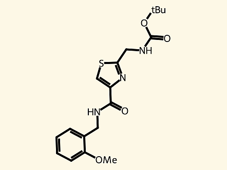 COc1ccccc1CNC(=O)c1csc(CNC(=O)OC(C)(C)C)n1